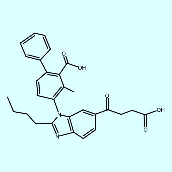 CCCCc1nc2ccc(C(=O)CCC(=O)O)cc2n1-c1ccc(-c2ccccc2)c(C(=O)O)c1C